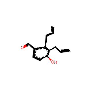 C=CCc1c(O)ccc(C=O)c1CC=C